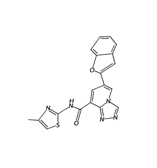 Cc1csc(NC(=O)c2cc(-c3cc4ccccc4o3)cn3cnnc23)n1